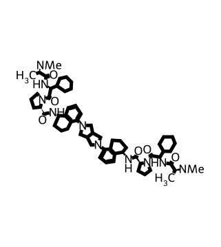 CN[C@@H](C)C(=O)N[C@H](C(=O)N1CCC[C@H]1C(=O)N[C@@H]1CCCc2c1cccc2N1CC2CN(c3cccc4c3CCC[C@H]4NC(=O)[C@@H]3CCCN3C(=O)[C@@H](NC(=O)[C@H](C)NC)C3CCCCC3)CC2C1)C1CCCCC1